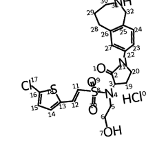 Cl.O=C1[C@@H](N(CCO)S(=O)(=O)/C=C/c2ccc(Cl)s2)CCN1c1ccc2c(c1)CCCNC2